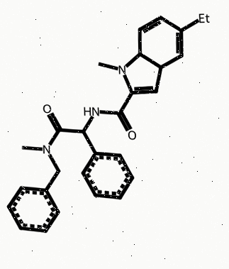 CCC1=CC2C=C(C(=O)NC(C(=O)N(C)Cc3ccccc3)c3ccccc3)N(C)C2C=C1